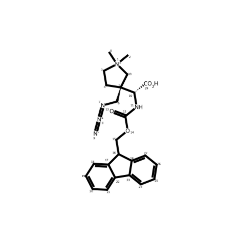 C[N+]1(C)CC[C@@](CN=[N+]=[N-])([C@@H](NC(=O)OCC2c3ccccc3-c3ccccc32)C(=O)O)C1